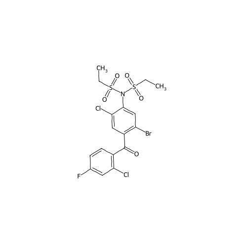 CCS(=O)(=O)N(c1cc(Br)c(C(=O)c2ccc(F)cc2Cl)cc1Cl)S(=O)(=O)CC